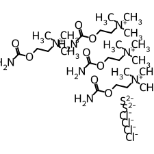 C[N+](C)(C)CCOC(N)=O.C[N+](C)(C)CCOC(N)=O.C[N+](C)(C)CCOC(N)=O.C[N+](C)(C)CCOC(N)=O.[Cl-].[Cl-].[Cl-].[Cl-].[S-2].[S-2]